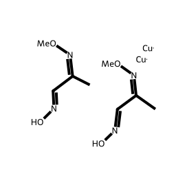 CON=C(C)C=NO.CON=C(C)C=NO.[Cu].[Cu]